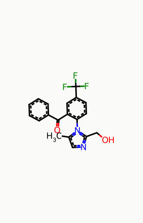 Cc1cnc(CO)n1-c1ccc(C(F)(F)F)cc1C(=O)c1ccccc1